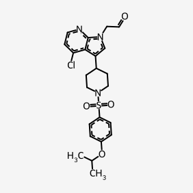 CC(C)Oc1ccc(S(=O)(=O)N2CCC(c3cn(CC=O)c4nccc(Cl)c34)CC2)cc1